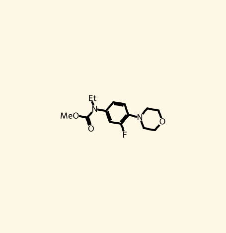 CCN(C(=O)OC)c1ccc(N2CCOCC2)c(F)c1